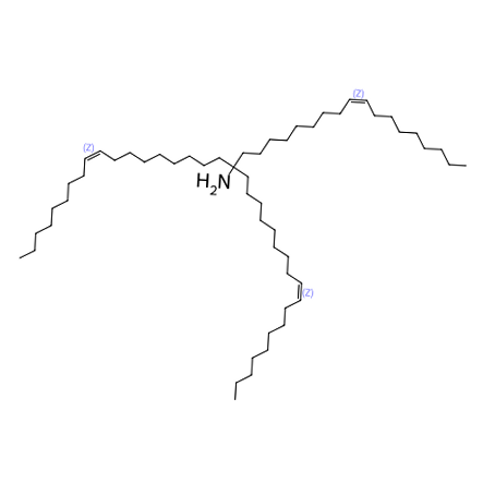 CCCCCCCC/C=C\CCCCCCCCC(N)(CCCCCCCC/C=C\CCCCCCCC)CCCCCCCC/C=C\CCCCCCCC